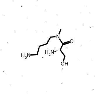 CN(CCCCN)C(=O)[C@@H](N)CO